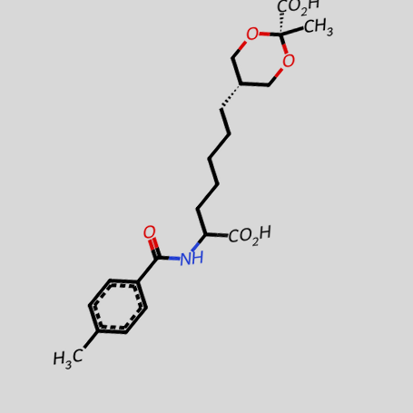 Cc1ccc(C(=O)NC(CCCCC[C@H]2CO[C@@](C)(C(=O)O)OC2)C(=O)O)cc1